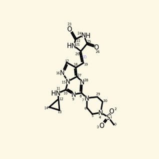 CS(=O)(=O)N1CCN(c2nc(NC3CC3)n3ncc(/C=C4\NC(=O)NC4=O)c3n2)CC1